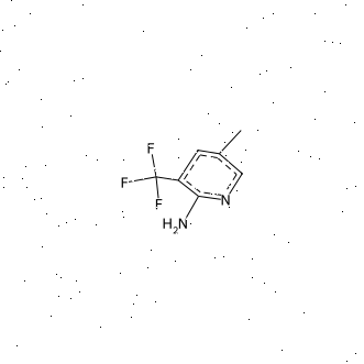 Cc1cnc(N)c(C(F)(F)F)c1